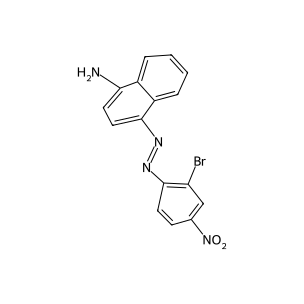 Nc1ccc(N=Nc2ccc([N+](=O)[O-])cc2Br)c2ccccc12